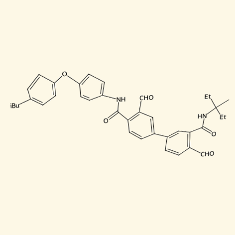 CCC(C)c1ccc(Oc2ccc(NC(=O)c3ccc(-c4ccc(C=O)c(C(=O)NC(C)(CC)CC)c4)cc3C=O)cc2)cc1